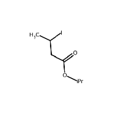 CC(I)CC(=O)OC(C)C